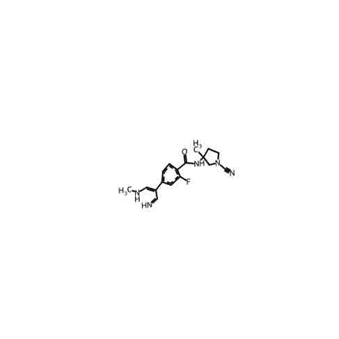 CN/C=C(\C=N)c1ccc(C(=O)NC2(C)CCN(C#N)C2)c(F)c1